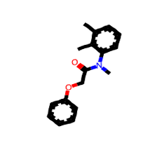 Cc1cccc(N(C)C(=O)COc2ccccc2)c1C